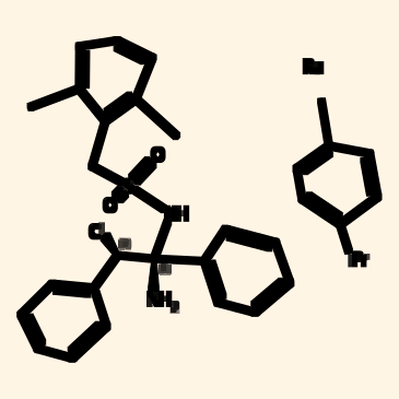 Cc1ccc(C(C)C)cc1.Cc1cccc(C)c1CS(=O)(=O)N[C@](N)(c1ccccc1)[C@H](Cl)c1ccccc1.[Ru]